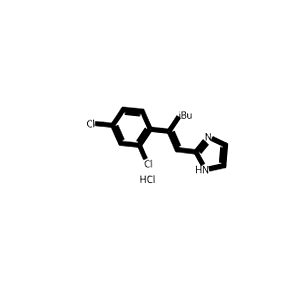 CCC(C)/C(=C\c1ncc[nH]1)c1ccc(Cl)cc1Cl.Cl